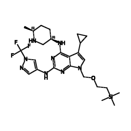 C[C@H]1CC[C@@H](Nc2nc(Nc3cnn(C(F)(F)F)c3)nc3c2c(C2CC2)cn3COCC[Si](C)(C)C)CN1